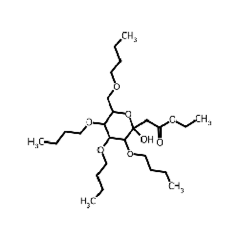 CCCCOCC1OC(O)(CC(=O)OCC)C(OCCCC)C(OCCCC)C1OCCCC